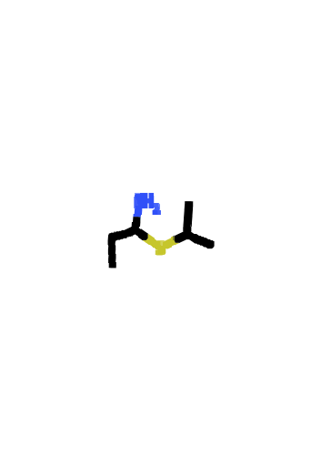 CCC(N)SC(C)C